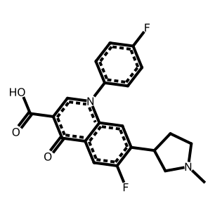 CN1CCC(c2cc3c(cc2F)c(=O)c(C(=O)O)cn3-c2ccc(F)cc2)C1